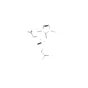 CCCCCCCCCCN1C=CN(C)C1OP(=O)(OCC(CC)CCCC)OCC(CC)CCCC